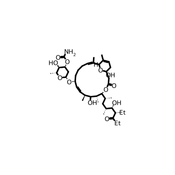 CCC(=O)[C@@H](CC)[C@@H](O)[C@H](C)C[C@@H](C)[C@H]1OC(=O)C[C@@]2(O)CC=C(C)[C@H](O2)/C(C)=C\CCC[C@@H](O[C@H]2C[C@@H](OC(N)=O)[C@H](O)[C@@H](C)O2)/C=C\[C@H](C)C(O)[C@H]1C